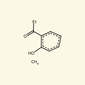 C.CCC(=O)c1ccccc1O